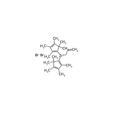 C=C[CH2][Zr+2]([C]1=C(C)C(C)=C(C)C1(C)C)[C]1=C(C)C(C)=C(C)C1(C)C.[Br-].[Br-]